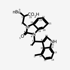 CCCCC(Cn1c(=O)n(C(C)c2c[nH]c3cccc(C)c23)c2ccccc21)C(=O)O